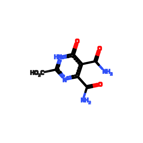 NC(=O)c1nc(C(=O)O)[nH]c(=O)c1C(N)=O